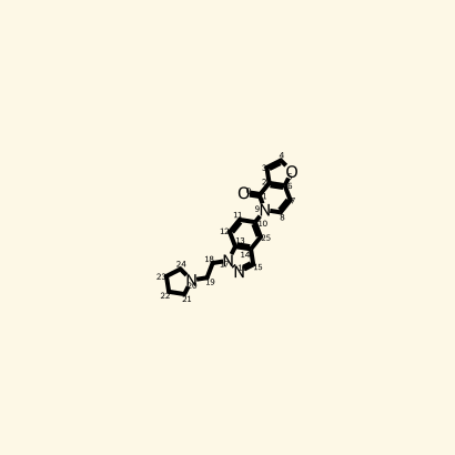 O=c1c2ccoc2ccn1-c1ccc2c(cnn2CCN2CCCC2)c1